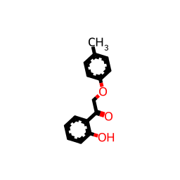 Cc1ccc(OCC(=O)c2ccccc2O)cc1